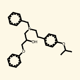 CC(C)Oc1ccc(CCN(Cc2ccccc2)CC(O)COc2ccccc2)cc1